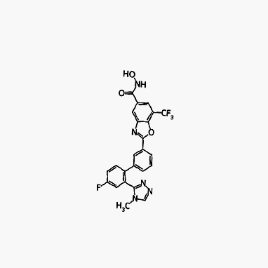 Cn1cnnc1-c1cc(F)ccc1-c1cccc(-c2nc3cc(C(=O)NO)cc(C(F)(F)F)c3o2)c1